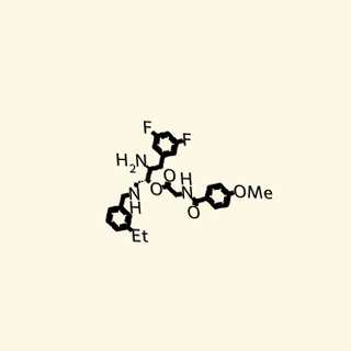 CCc1cccc(CNC[C@@H](OC(=O)CNC(=O)c2ccc(OC)cc2)[C@@H](N)Cc2cc(F)cc(F)c2)c1